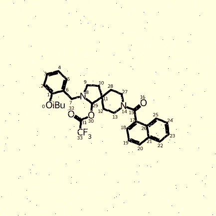 CC(C)COc1ccccc1CN1CCC2(CCN(C(=O)c3cccc4ccccc34)CC2)C1OC(=O)C(F)(F)F